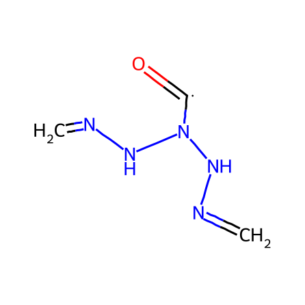 C=NNN([C]=O)NN=C